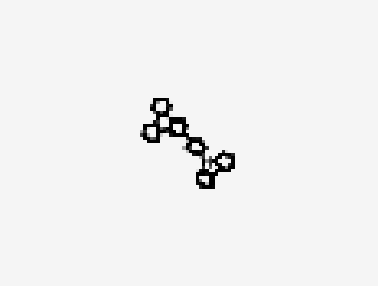 C1=CC2c3ccccc3N(c3ccc(-c4ccc5c6ccccc6c6ccccc6c5c4)cc3)C2C=C1